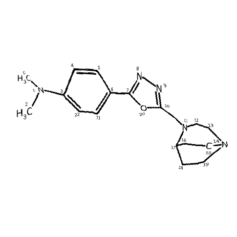 CN(C)c1ccc(-c2nnc(N3CCN4CCC3CC4)o2)cc1